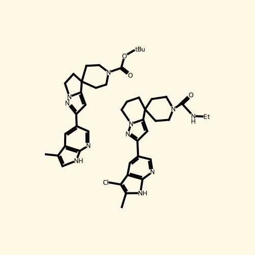 CCNC(=O)N1CCC2(CCCn3nc(-c4cnc5[nH]c(C)c(Cl)c5c4)cc32)CC1.Cc1c[nH]c2ncc(-c3cc4n(n3)CCC43CCN(C(=O)OC(C)(C)C)CC3)cc12